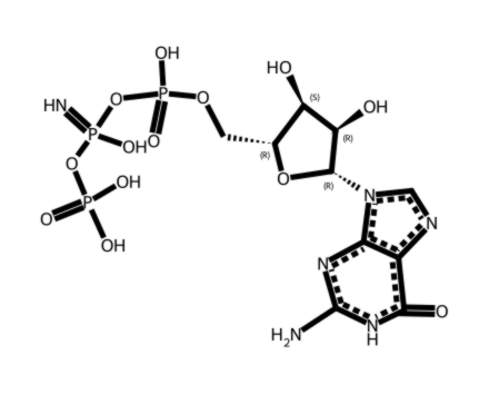 N=P(O)(OP(=O)(O)O)OP(=O)(O)OC[C@H]1O[C@@H](n2cnc3c(=O)[nH]c(N)nc32)[C@H](O)[C@@H]1O